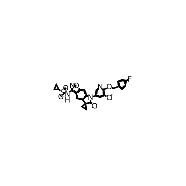 C[C@H](Oc1ncc(N2C(=O)C3(CC3)c3cc4c(NS(=O)(=O)C5CC5)noc4cc32)cc1Cl)c1ccc(F)cc1